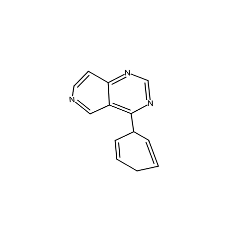 C1=CC(c2ncnc3ccncc23)C=CC1